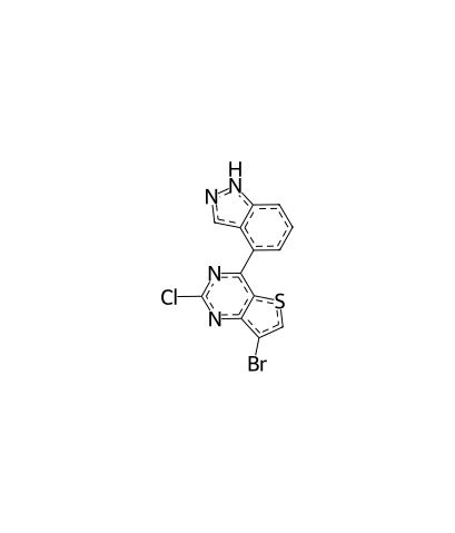 Clc1nc(-c2cccc3[nH]ncc23)c2scc(Br)c2n1